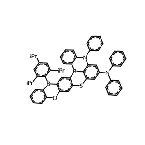 CC(C)c1cc(C(C)C)c(B2c3ccccc3Oc3cc4c(cc32)B2c3ccccc3N(c3ccccc3)c3cc(N(c5ccccc5)c5ccccc5)cc(c32)S4)c(C(C)C)c1